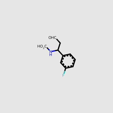 O=CCC(NC(=O)O)c1cccc(F)c1